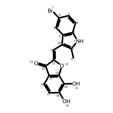 Cc1[nH]c2ccc(Br)cc2c1C=C1Oc2c(ccc(O)c2O)C1=O